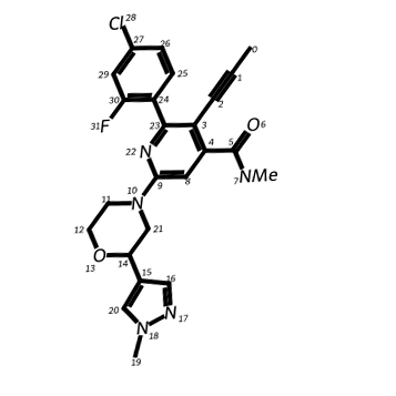 CC#Cc1c(C(=O)NC)cc(N2CCOC(c3cnn(C)c3)C2)nc1-c1ccc(Cl)cc1F